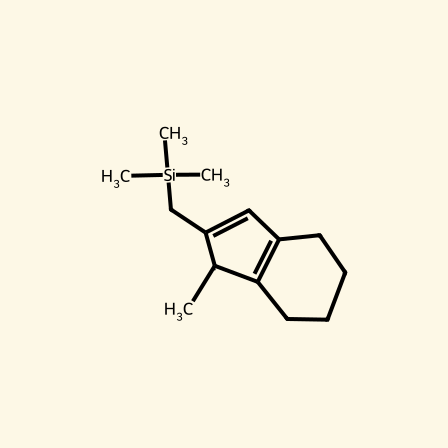 C[C]1C(C[Si](C)(C)C)=CC2=C1CCCC2